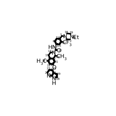 CCN1CCN(Cc2ccc(NC(=O)N3CCc4c(C)cc(Oc5ccnc6[nH]ccc56)cc4C3C)cc2C(F)(F)F)CC1